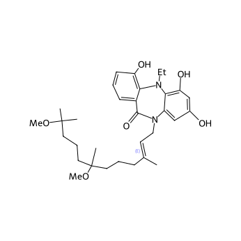 CCN1c2c(O)cccc2C(=O)N(C/C=C(\C)CCCC(C)(CCCC(C)(C)OC)OC)c2cc(O)cc(O)c21